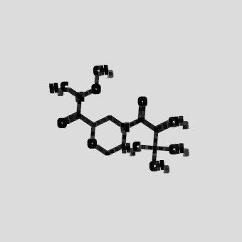 C=C(C(=O)N1CCOC(C(=O)N(C)OC)C1)C(C)(C)C